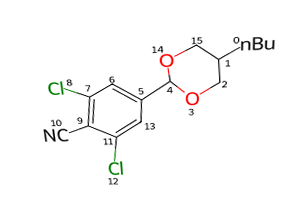 CCCCC1COC(c2cc(Cl)c(C#N)c(Cl)c2)OC1